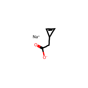 O=C([O-])CC1C=C1.[Na+]